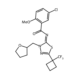 COc1ccc(Cl)cc1C(=O)N=c1sc(C2(C(F)(F)F)CCC2)nn1CC1CCCO1